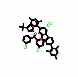 CCC1C=C(C(C)(C)C)C=[C]1[Zr+2](=[C](c1cccc(Cl)c1)c1cccc(Cl)c1)[c]1c(-c2c(C)cc(C)cc2C)ccc2c1Cc1cc(-c3c(C)cc(C)cc3C)ccc1-2.[Cl-].[Cl-]